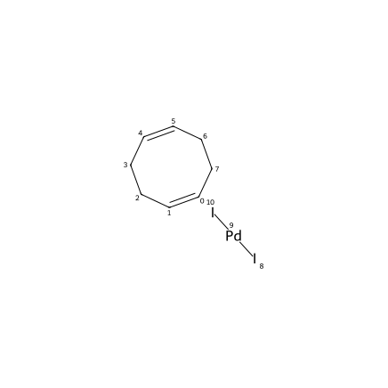 C1=C\CC/C=C\CC/1.[I][Pd][I]